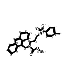 Cc1ccc(S(=O)(=O)OCCCN(Cc2c3ccccc3cc3ccccc23)C(=O)OC(C)(C)C)cc1